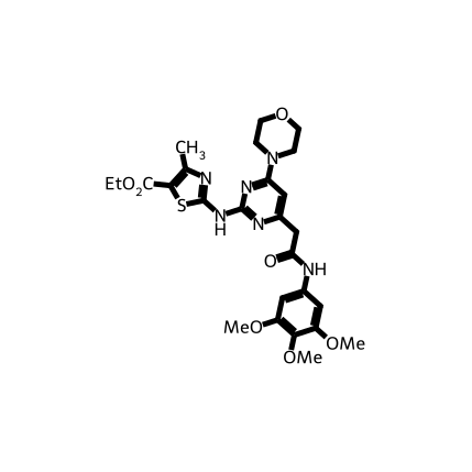 CCOC(=O)c1sc(Nc2nc(CC(=O)Nc3cc(OC)c(OC)c(OC)c3)cc(N3CCOCC3)n2)nc1C